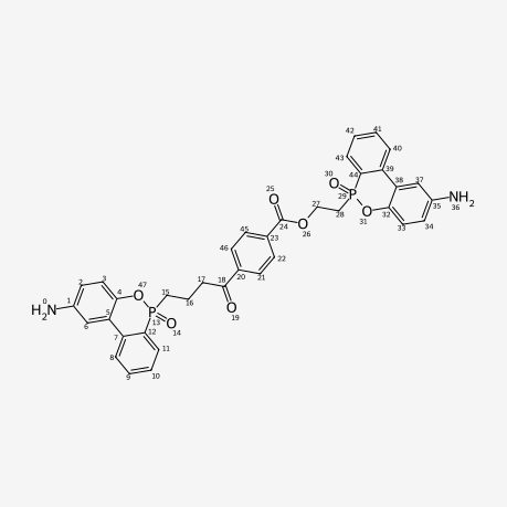 Nc1ccc2c(c1)-c1ccccc1P(=O)(CCCC(=O)c1ccc(C(=O)OCCP3(=O)Oc4ccc(N)cc4-c4ccccc43)cc1)O2